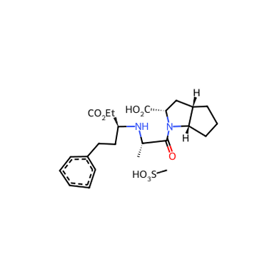 CCOC(=O)[C@H](CCc1ccccc1)N[C@@H](C)C(=O)N1[C@H](C(=O)O)C[C@@H]2CCC[C@@H]21.CS(=O)(=O)O